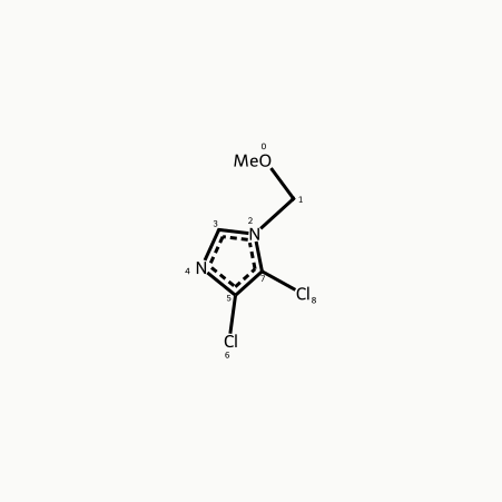 COCn1cnc(Cl)c1Cl